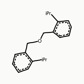 CC(C)c1ccccc1COCc1ccccc1C(C)C